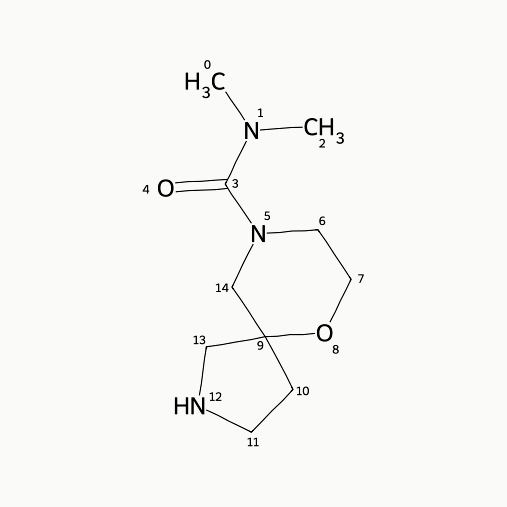 CN(C)C(=O)N1CCOC2(CCNC2)C1